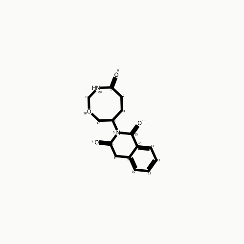 O=C1CCC(N2C(=O)Cc3ccccc3C2=O)COCN1